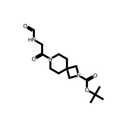 CC(C)(C)OC(=O)N1CC2(CCN(C(=O)CNC=O)CC2)C1